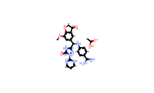 CC(=O)O.COc1cc(C(Nc2ccc(C(=N)N)cc2)c2nn(-c3ncccn3)c(=O)[nH]2)cc2c1OCC2=O